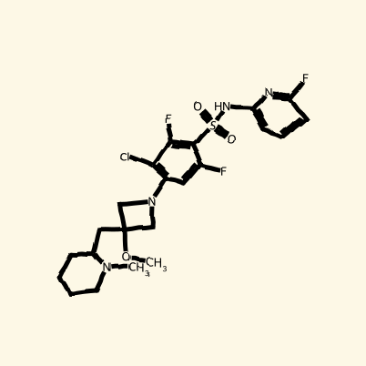 COC1(CC2CCCCN2C)CN(c2cc(F)c(S(=O)(=O)Nc3cccc(F)n3)c(F)c2Cl)C1